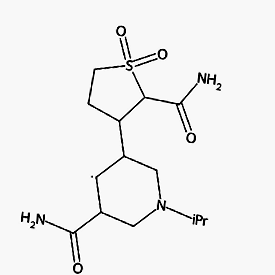 CC(C)N1CC(C(N)=O)[CH]C(C2CCS(=O)(=O)C2C(N)=O)C1